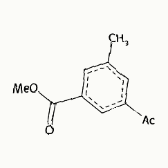 COC(=O)c1cc(C)cc(C(C)=O)c1